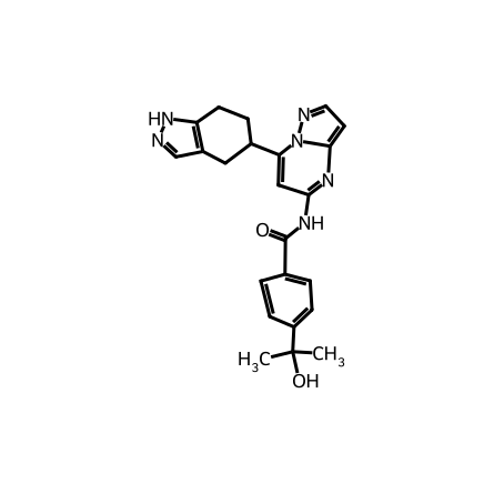 CC(C)(O)c1ccc(C(=O)Nc2cc(C3CCc4[nH]ncc4C3)n3nccc3n2)cc1